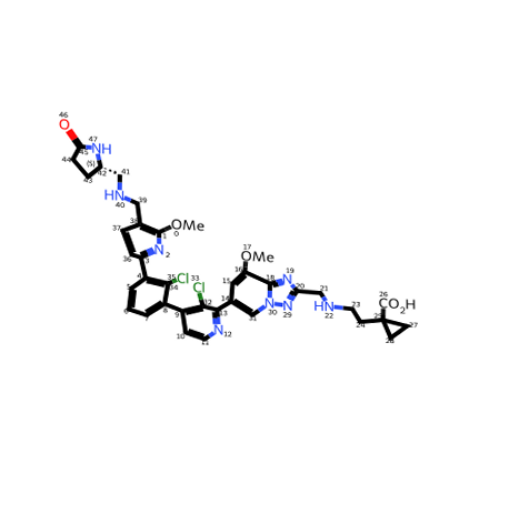 COc1nc(-c2cccc(-c3ccnc(-c4cc(OC)c5nc(CNCCC6(C(=O)O)CC6)nn5c4)c3Cl)c2Cl)ccc1CNC[C@@H]1CCC(=O)N1